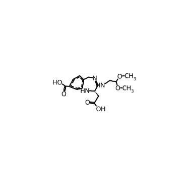 COC(CNC1=NCc2ccc(C(=O)O)cc2N[C@@H]1CC(=O)O)OC